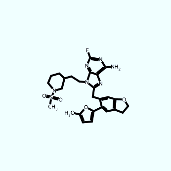 Cc1ccc(-c2cc3c(cc2Cc2nc4c(N)nc(F)nc4n2CCC2CCCN(S(C)(=O)=O)C2)OCC3)o1